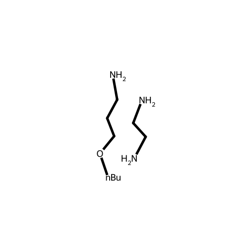 CCCCOCCCN.NCCN